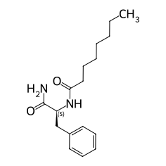 CCCCCCCC(=O)N[C@@H](Cc1ccccc1)C(N)=O